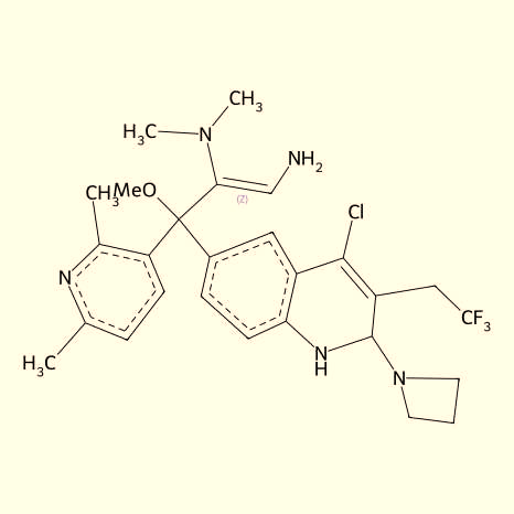 COC(/C(=C/N)N(C)C)(c1ccc2c(c1)C(Cl)=C(CC(F)(F)F)C(N1CCC1)N2)c1ccc(C)nc1C